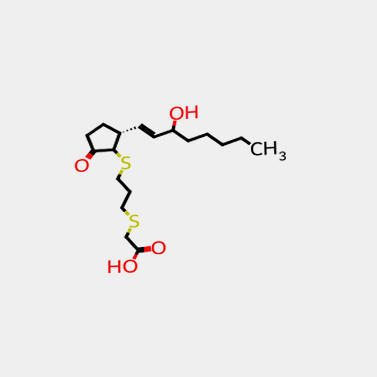 CCCCCC(O)C=C[C@H]1CCC(=O)C1SCCCSCC(=O)O